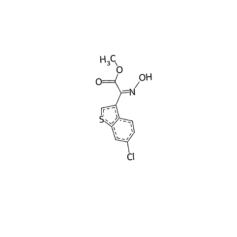 COC(=O)C(=NO)c1csc2cc(Cl)ccc12